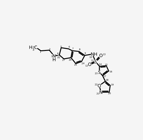 CCCN[C@H]1CCc2cc(NS(=O)(=O)c3ccc(-c4ccno4)s3)ccc2C1